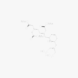 COC(=O)CN(CCN(CC(=O)OC)CC1CCCC(CN(CC(=O)O)CC(=O)O)N1)CC(=O)OC